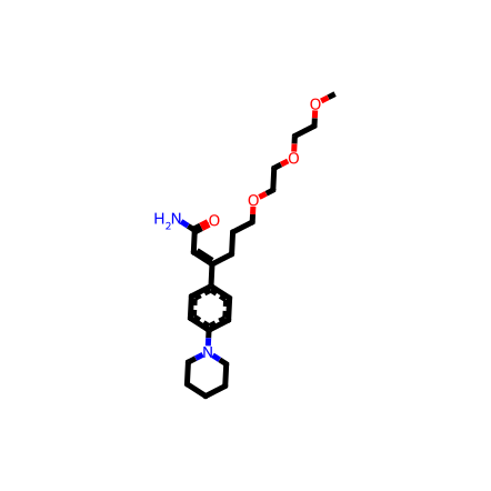 COCCOCCOCCCC(=CC(N)=O)c1ccc(N2CCCCC2)cc1